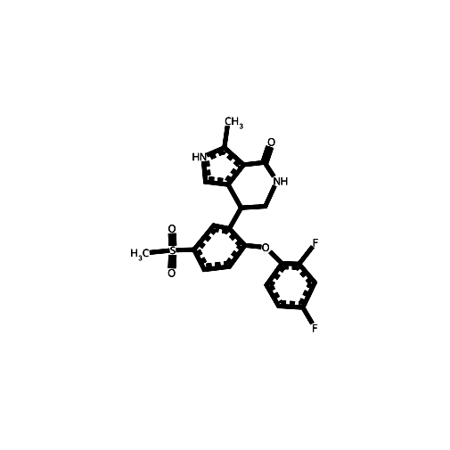 Cc1[nH]cc2c1C(=O)NCC2c1cc(S(C)(=O)=O)ccc1Oc1ccc(F)cc1F